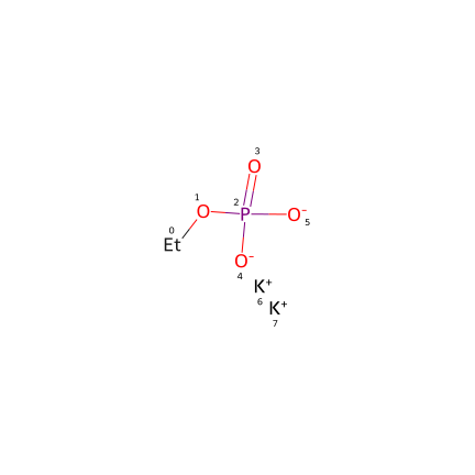 CCOP(=O)([O-])[O-].[K+].[K+]